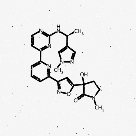 C[C@H](Nc1nccc(-c2cccc(-c3cc(C4(O)CCN(C)C4=O)on3)n2)n1)c1cnn(C)c1